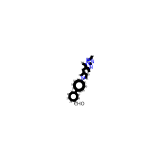 Cc1nc2nc(C)c(CC3CCN(c4ccccc(C5CCCCC(C=O)CC5)cccc4)C3)c(C)n2n1